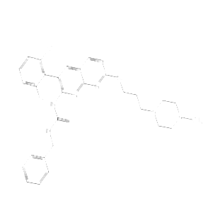 CN1CCN(CCCNc2ncc3cc(-c4c(Cl)cccc4Cl)c(NC(=O)NCc4ccccc4)nc3n2)CC1